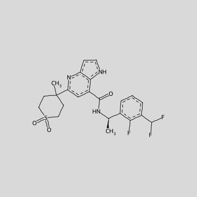 C[C@@H](NC(=O)c1cc(C2(C)CCS(=O)(=O)CC2)nc2cc[nH]c12)c1cccc(C(F)F)c1F